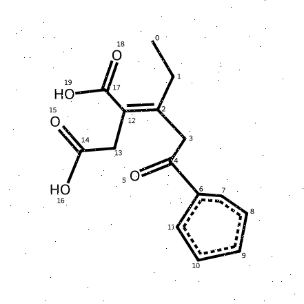 CCC(CC(=O)c1ccccc1)=C(CC(=O)O)C(=O)O